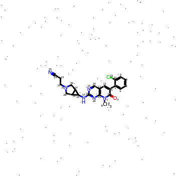 Cn1c(=O)c(-c2ccccc2Cl)cc2cnc(NC3C4CN(CCC#N)CC43)nc21